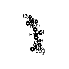 CC(C)(C)OC(=O)N[C@@H](C(=O)N1CCC[C@H]1C(=O)Nc1ccc(-c2[nH]c3ccc(NC(=O)[C@@H]4CCCN4C(=O)[C@@H](c4ccccc4)N(C(=O)O)C(C)(C)C)cc3c2-c2ccncc2)cc1)c1ccccc1